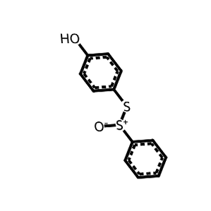 [O-][S+](Sc1ccc(O)cc1)c1ccccc1